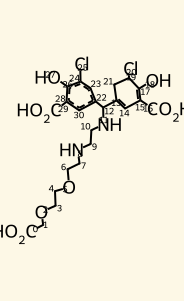 O=C(O)COCCOCCNCCNC(C1=CC(C(=O)O)=C(O)C(Cl)C1)c1cc(Cl)c(O)c(C(=O)O)c1